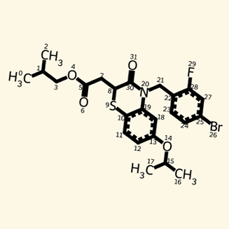 CC(C)COC(=O)CC1Sc2ccc(OC(C)C)cc2N(Cc2ccc(Br)cc2F)C1=O